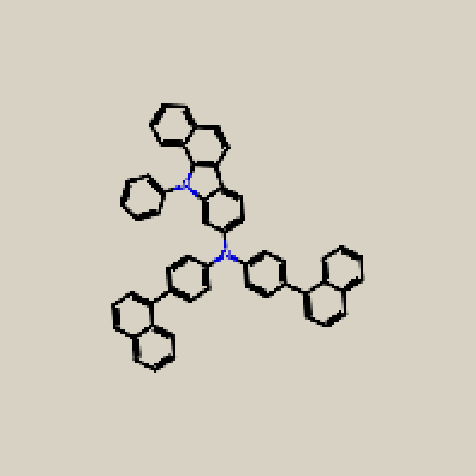 c1ccc(-n2c3cc(N(c4ccc(-c5cccc6ccccc56)cc4)c4ccc(-c5cccc6ccccc56)cc4)ccc3c3ccc4ccccc4c32)cc1